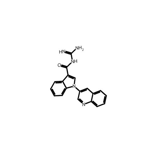 N=C(N)NC(=O)c1cn(-c2cnc3ccccc3c2)c2ccccc12